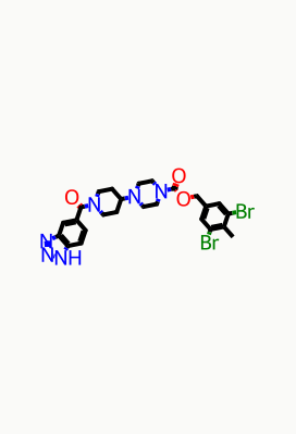 Cc1c(Br)cc(COC(=O)N2CCN(C3CCN(C(=O)c4ccc5[nH]nnc5c4)CC3)CC2)cc1Br